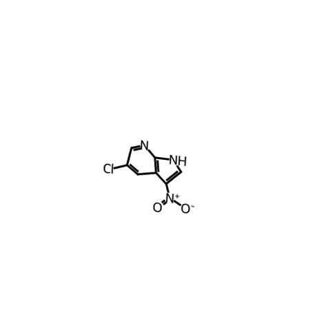 O=[N+]([O-])c1c[nH]c2ncc(Cl)cc12